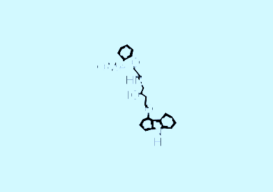 COc1ccccc1OCCNCC(O)CCOc1cccc2[nH]c3ccccc3c12